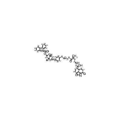 CN(CCNC[C@H](O)c1ccc(O)c2[nH]c(=O)ccc12)C(=O)CCOCCc1ccc(CN2C[C@H]3C[C@@H](OC(=O)Nc4ccccc4-c4ccccc4)C[C@H]3C2)cc1